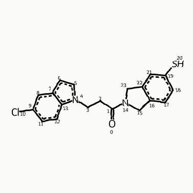 O=C(CCn1ccc2cc(Cl)ccc21)N1Cc2ccc(S)cc2C1